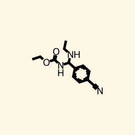 CCNC(NC(=O)OCC)c1ccc(C#N)cc1